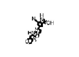 Cn1c2c(cc(Nc3nccc(-c4cc(C#N)c5c(c4)C(C)(CO)CN5)n3)c1=O)COCC2